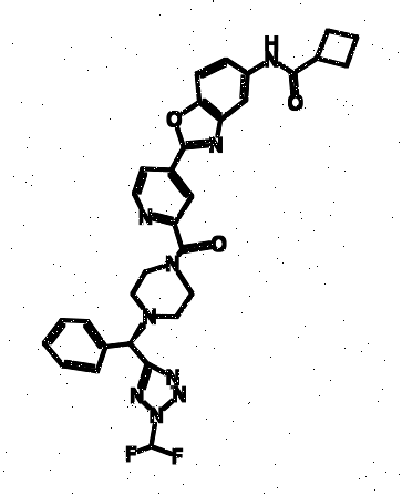 O=C(Nc1ccc2oc(-c3ccnc(C(=O)N4CCN([C@H](c5ccccc5)c5nnn(C(F)F)n5)CC4)c3)nc2c1)C1CCC1